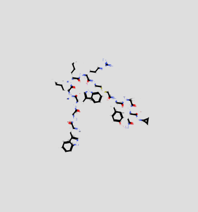 CCCC[C@@H](C(=O)N(C)[C@@H](CCCC)C(=O)N[C@@H](CCCNC(=N)N)C(=O)NCCSCC(=O)N[C@@H](Cc1ccc(O)cc1)C(=O)N(C)[C@@H](C)C(=O)N[C@@H](CC(N)=O)C(=O)NC1CC1)N(C)C(=O)[C@H](Cc1c[nH]c2ccccc12)NC(=O)CNC(=O)[C@H](Cc1c[nH]c2ccccc12)NC